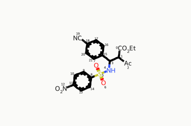 CCOC(=O)C(C(C)=O)C(NS(=O)(=O)c1ccc([N+](=O)[O-])cc1)c1ccc(C#N)cc1